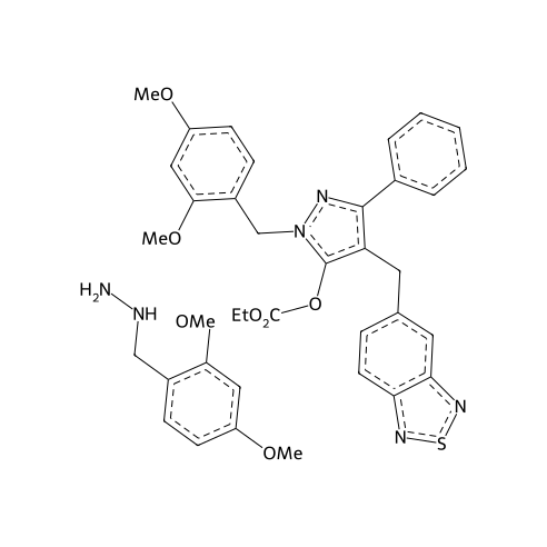 CCOC(=O)Oc1c(Cc2ccc3nsnc3c2)c(-c2ccccc2)nn1Cc1ccc(OC)cc1OC.COc1ccc(CNN)c(OC)c1